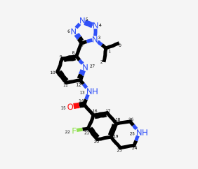 CC(C)n1nnnc1-c1cccc(NC(=O)c2cc3c(cc2F)CCNC3)n1